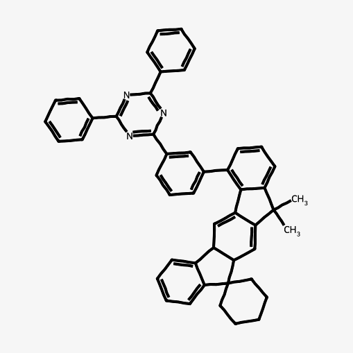 CC1(C)C2=CC3C(C=C2c2c(-c4cccc(-c5nc(-c6ccccc6)nc(-c6ccccc6)n5)c4)cccc21)c1ccccc1C31CCCCC1